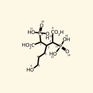 O=C(O)C(C(CCCO)C(C(=O)O)P(=O)(O)O)P(=O)(O)O